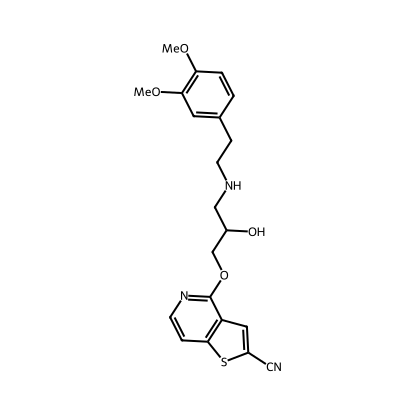 COc1ccc(CCNCC(O)COc2nccc3sc(C#N)cc23)cc1OC